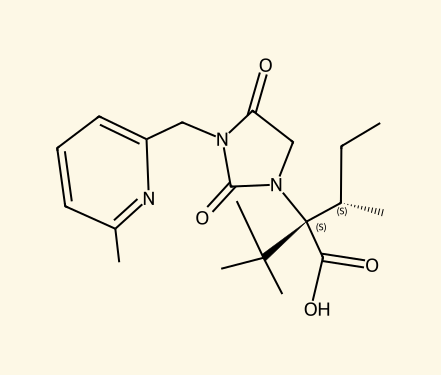 CC[C@H](C)[C@](C(=O)O)(N1CC(=O)N(Cc2cccc(C)n2)C1=O)C(C)(C)C